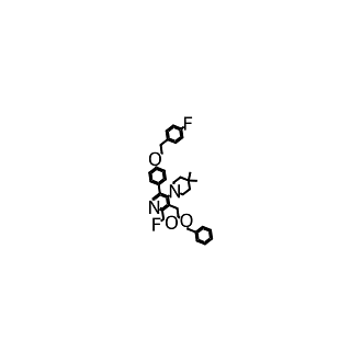 CC1(C)CCN(c2c(-c3ccc(OCCc4ccc(F)cc4)cc3)cnc(CF)c2CC(=O)OCc2ccccc2)CC1